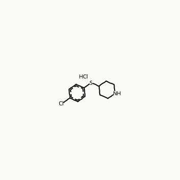 Cl.Clc1ccc(SC2CCNCC2)cc1